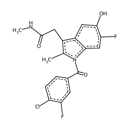 CNC(=O)Cc1c(C)n(C(=O)c2ccc(Cl)c(F)c2)c2cc(F)c(O)cc12